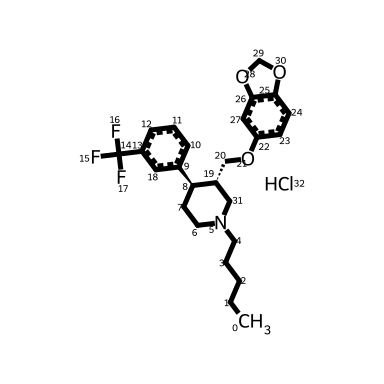 CCCCCN1CC[C@@H](c2cccc(C(F)(F)F)c2)[C@H](COc2ccc3c(c2)OCO3)C1.Cl